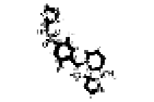 CN1N=CCC1(C)[C@H]1CCCCN1Cc1cc(F)c(S(=O)(=O)Nc2ncns2)cc1F